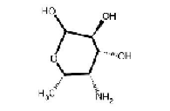 C[C@@H]1OC(O)[C@@H](O)[C@H](O)[C@@H]1N